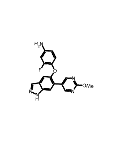 COc1ncc(-c2cc3[nH]ncc3cc2Oc2ccc(N)cc2F)cn1